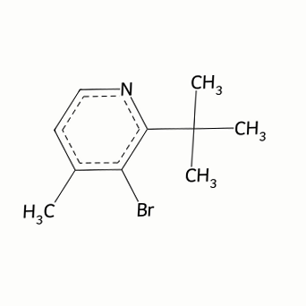 Cc1ccnc(C(C)(C)C)c1Br